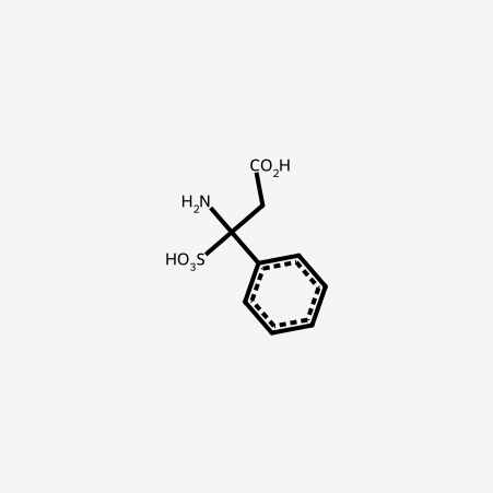 NC(CC(=O)O)(c1ccccc1)S(=O)(=O)O